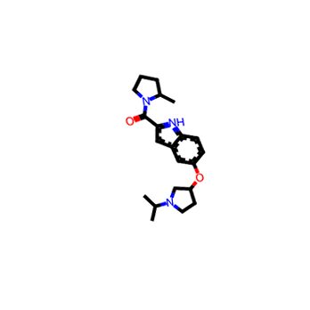 CC(C)N1CCC(Oc2ccc3[nH]c(C(=O)N4CCCC4C)cc3c2)C1